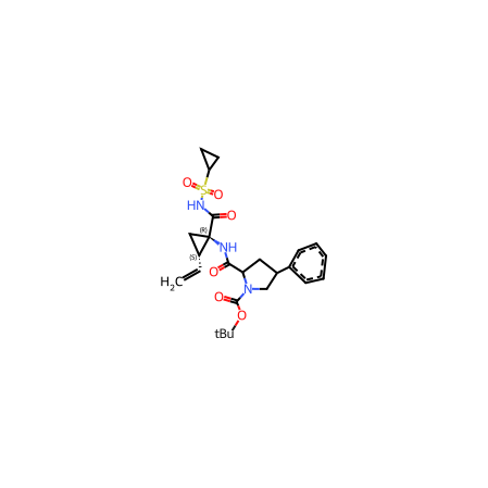 C=C[C@@H]1C[C@]1(NC(=O)C1CC(c2ccccc2)CN1C(=O)OC(C)(C)C)C(=O)NS(=O)(=O)C1CC1